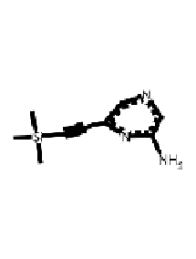 C[Si](C)(C)C#Cc1cncc(N)n1